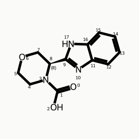 O=C(O)N1CCOC[C@H]1c1nc2ccccc2[nH]1